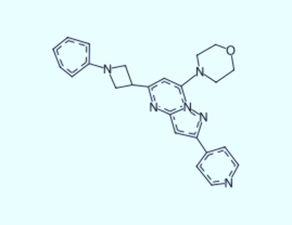 c1ccc(N2CC(c3cc(N4CCOCC4)n4nc(-c5ccncc5)cc4n3)C2)cc1